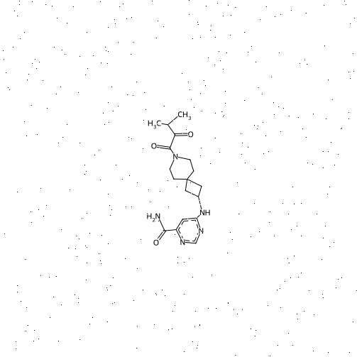 CC(C)C(=O)C(=O)N1CCC2(CC1)CC(Nc1cc(C(N)=O)ncn1)C2